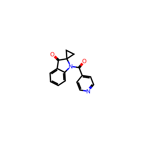 O=C(c1ccncc1)N1c2ccccc2C(=O)C12CC2